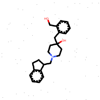 OCc1ccccc1CC1(O)CCN(CC2CCc3ccccc32)CC1